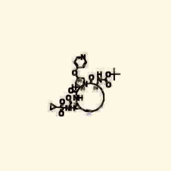 CC(C)(C)OC(=O)N[C@H]1CCCCC/C=C\C2C[C@@]2(C(=O)NS(=O)(=O)C2CC2)NC(=O)[C@@H]2C[C@@H](Oc3ccncc3)CN2C1=O